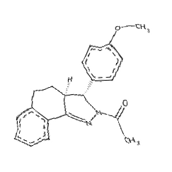 COc1ccc([C@H]2[C@@H]3CCc4ccccc4C3=NN2C(C)=O)cc1